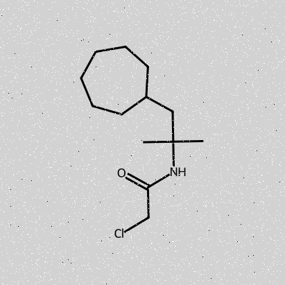 CC(C)(CC1CCCCCC1)NC(=O)CCl